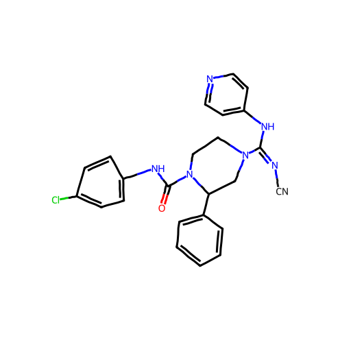 N#C/N=C(/Nc1ccncc1)N1CCN(C(=O)Nc2ccc(Cl)cc2)C(c2ccccc2)C1